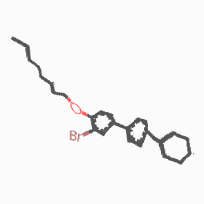 CCCCCCCCOc1ccc(-c2ccc(C3CC[CH]CC3)cc2)cc1Br